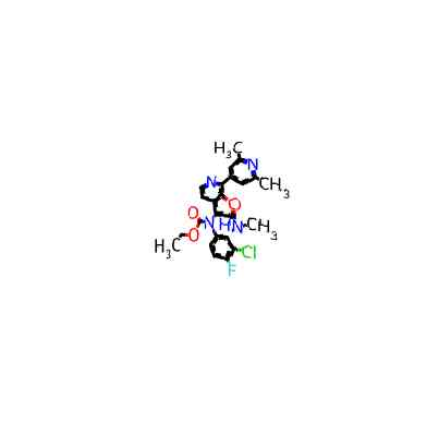 CCOC(=O)N(c1ccc(F)c(Cl)c1)c1c(NC)oc2c(-c3cc(C)nc(C)c3)nccc12